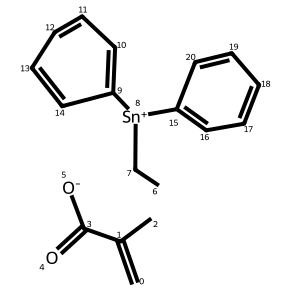 C=C(C)C(=O)[O-].C[CH2][Sn+]([c]1ccccc1)[c]1ccccc1